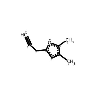 C#CCc1cc(C)c(C)o1